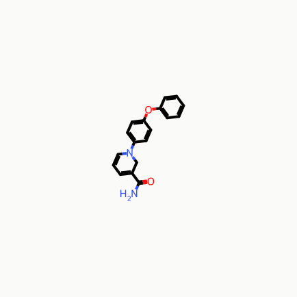 NC(=O)C1=CC=CN(c2ccc(Oc3ccccc3)cc2)C1